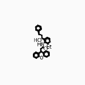 CCc1cccc(C(O)CCc2ccccc2)c1NC(=O)CC1c2ccccc2Oc2ccccc21